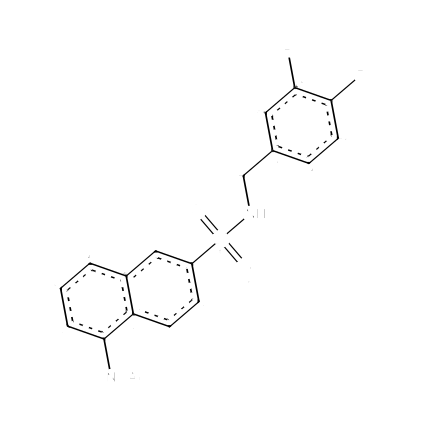 CC(=O)Nc1cccc2cc(S(=O)(=O)NCc3ccc(F)c(F)c3)ccc12